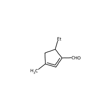 CCC1CC(C)=C=C1C=O